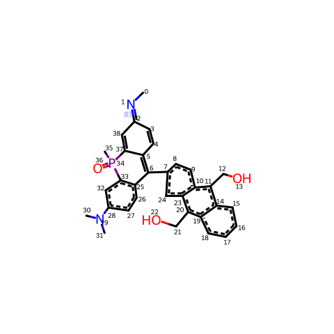 C/N=C1\C=CC2=C(c3ccc4c(CO)c5ccccc5c(CO)c4c3)c3ccc(N(C)C)cc3P(C)(=O)C2=C1